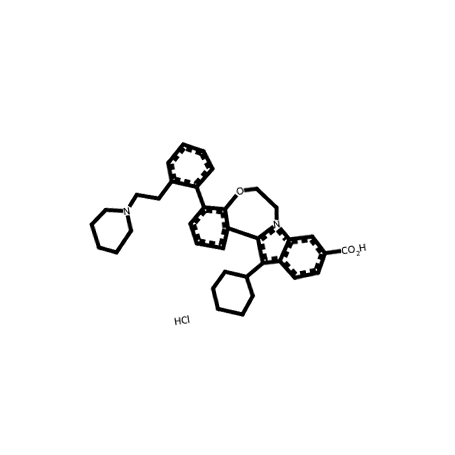 Cl.O=C(O)c1ccc2c(C3CCCCC3)c3n(c2c1)CCOc1c(-c2ccccc2CCN2CCCCC2)cccc1-3